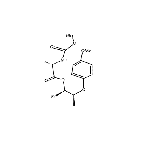 COc1ccc(O[C@@H](C)[C@H](OC(=O)[C@H](C)NC(=O)OC(C)(C)C)C(C)C)cc1